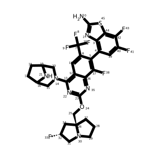 Nc1nc2c(-c3c(C(F)(F)F)cc4c(N5CC6CCC(C5)N6)nc(OC[C@@]56CCCN5C[C@H](F)C6)nc4c3F)cc(F)c(F)c2s1